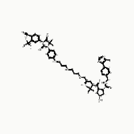 Cc1ncsc1-c1ccc(CNC(=O)[C@@H]2C[C@@H](O)CC2C(=O)C(CC(=O)COCCCOCCCOc2ccc(N3C(=S)N(c4ccc(C#N)c(C(F)(F)F)c4)C(=O)C3(C)C)cc2)C(C)(C)C)cc1